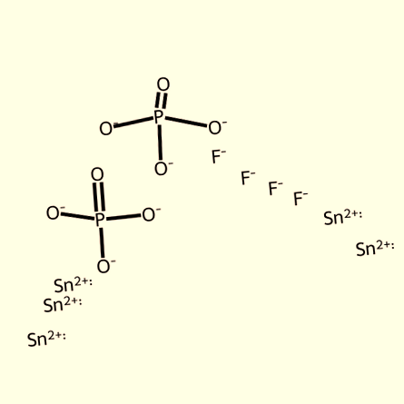 O=P([O-])([O-])[O-].O=P([O-])([O-])[O-].[F-].[F-].[F-].[F-].[Sn+2].[Sn+2].[Sn+2].[Sn+2].[Sn+2]